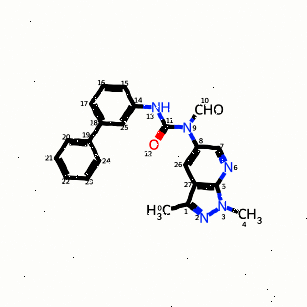 Cc1nn(C)c2ncc(N(C=O)C(=O)Nc3cccc(-c4ccccc4)c3)cc12